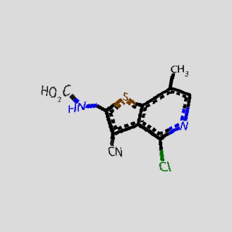 Cc1cnc(Cl)c2c(C#N)c(NC(=O)O)sc12